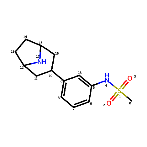 CS(=O)(=O)Nc1cccc(C2CC3CCC(C2)N3)c1